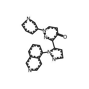 O=c1ccn(-c2cccnc2)nc1-c1ccnn1-c1cccc2cnccc12